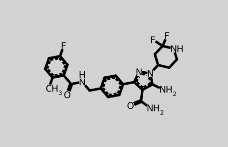 Cc1ccc(F)cc1C(=O)NCc1ccc(-c2nn(C3CCNC(F)(F)C3)c(N)c2C(N)=O)cc1